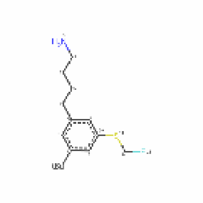 CC(C)(C)c1cc(CCCCN)cc(SCF)c1